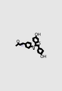 CC(=O)/C=C/c1ccc(N(C)c2c(-c3ccc(O)cc3)sc3cc(O)ccc23)cc1